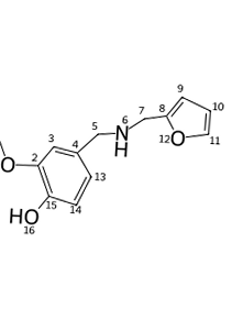 COc1cc(CNCc2ccco2)ccc1O